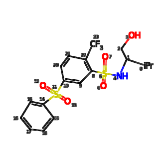 CC(C)C(CO)NS(=O)(=O)c1cc(S(=O)(=O)c2ccccc2)ccc1C(F)(F)F